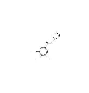 Cc1cc(C(=O)Nc2nncs2)cc(C)c1O